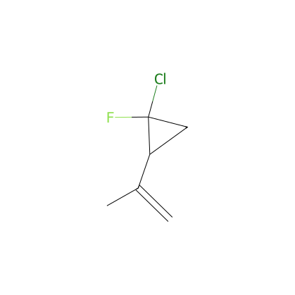 C=C(C)C1CC1(F)Cl